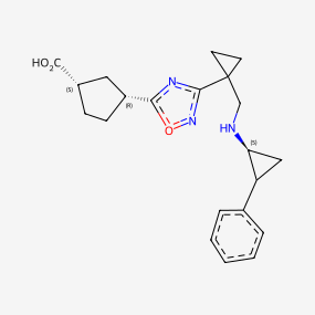 O=C(O)[C@H]1CC[C@@H](c2nc(C3(CN[C@H]4CC4c4ccccc4)CC3)no2)C1